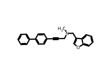 CN(CC#Cc1ccc(-c2ccccc2)cc1)Cc1coc2ccccc12